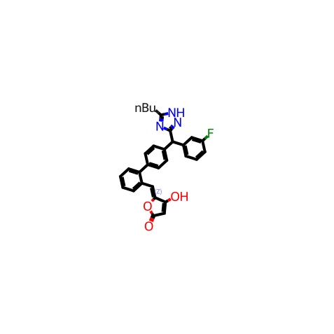 CCCCc1nc(C(c2ccc(-c3ccccc3/C=C3\OC(=O)C=C3O)cc2)c2cccc(F)c2)n[nH]1